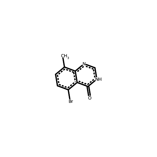 Cc1ccc(Br)c2c(=O)[nH]cnc12